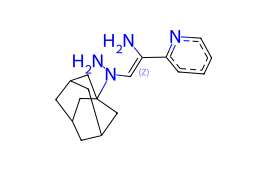 N/C(=C\N(N)C12CC3CC(CC(C3)C1)C2)c1ccccn1